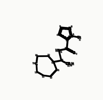 CCn1nccc1C(=O)NC(C(=O)O)C1CCCCCCC1